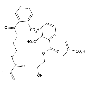 C=C(C)C(=O)O.C=C(C)C(=O)OCCOC(=O)c1ccccc1C(=O)O.O=C(O)c1ccccc1C(=O)OCCO